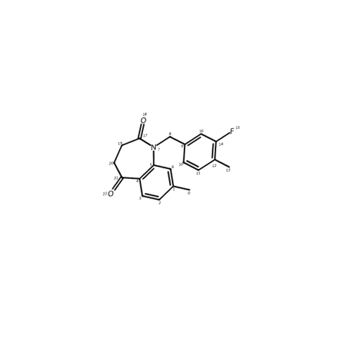 Cc1ccc2c(c1)N(Cc1ccc(C)c(F)c1)C(=O)CCC2=O